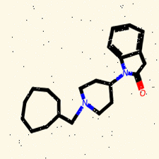 O=C1Cc2ccccc2N1C1CCN(CC2CCCCCCC2)CC1